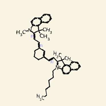 CCCCCCC[N+]1=C(/C=C/C2=CC(=C/C=C3/N(C)c4ccc5ccccc5c4C3(C)C)/CCC2)C(C)(C)c2c1ccc1ccccc21